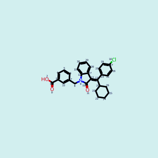 O=C(O)c1cccc(CN2C(=O)/C(=C(/c3ccc(Cl)cc3)C3CCCCC3)c3ccccc32)c1